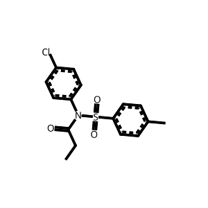 CCC(=O)N(c1ccc(Cl)cc1)S(=O)(=O)c1ccc(C)cc1